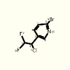 FC(F)C(Cl)c1ccc(Br)nc1